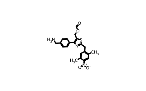 Cc1cc([N+](=O)[O-])c(C)cc1Cc1nc(-c2ccc(CN)cc2)c(COC=O)s1